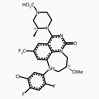 CO[C@H]1Cn2c(=O)nc(N3CCN(C(=O)O)C[C@@H]3C)c3cc(C(F)(F)F)cc(c32)[SH](c2cc(Cl)c(F)cc2F)C1